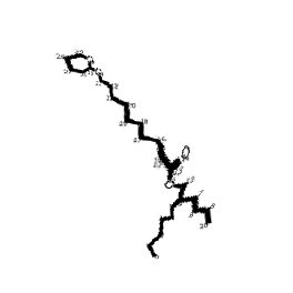 CCCCCCC(CCCC)COC(=O)CCCCCCCCCOC1CCCCO1